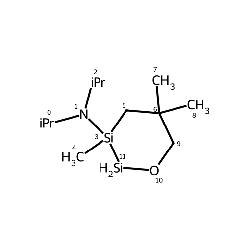 CC(C)N(C(C)C)[Si]1(C)CC(C)(C)CO[SiH2]1